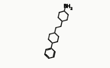 BC1CCC(CCC2CCC(c3ccccc3)CC2)CC1